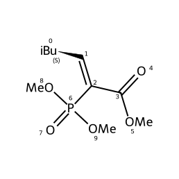 CC[C@H](C)C=C(C(=O)OC)P(=O)(OC)OC